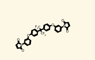 O=C1C=CC(=O)N1c1cccc(Oc2ccc(C(c3ccc(Oc4cccc(N5C(=O)C=CC5=O)c4)cc3)(C(F)(F)F)C(F)(F)F)cc2)c1